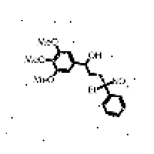 CCC(CCC(O)c1cc(OC)c(OC)c(OC)c1)(c1ccccc1)[N+](=O)[O-]